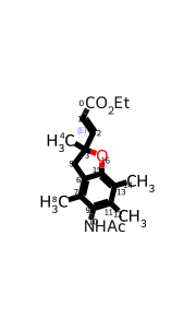 CCOC(=O)/C=C/C1(C)Cc2c(C)c(NC(C)=O)c(C)c(C)c2O1